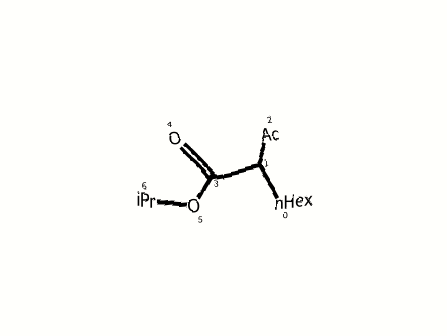 CCCCCCC(C(C)=O)C(=O)OC(C)C